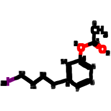 CC(=O)Oc1cccc(CCCCI)c1